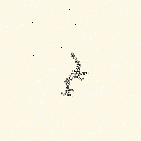 Cc1cc(/N=N/c2ccc(NS(=O)(=O)c3ccc(/N=N/c4c(S(=O)(=O)O)cc5c(SOOO)cc(/N=N/c6ccc(S(=O)(=O)CCOSOOO)cc6)c(N)c5c4O)cc3)cc2)c(N)cc1N